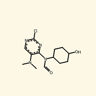 CN(C)c1cnc(Cl)nc1N(C=O)C1CCC(O)CC1